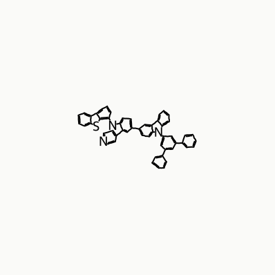 c1ccc(-c2cc(-c3ccccc3)cc(-n3c4ccccc4c4cc(-c5ccc6c(c5)c5ccncc5n6-c5cccc6c5sc5ccccc56)ccc43)c2)cc1